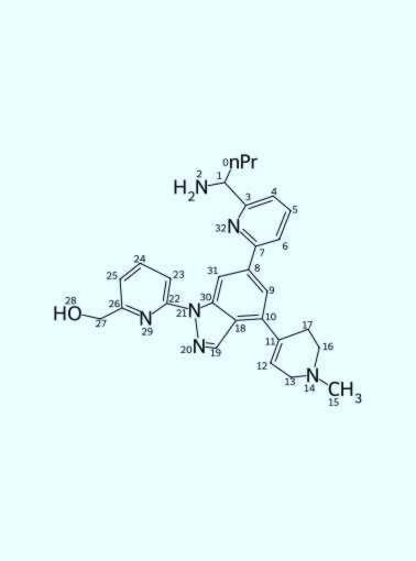 CCCC(N)c1cccc(-c2cc(C3=CCN(C)CC3)c3cnn(-c4cccc(CO)n4)c3c2)n1